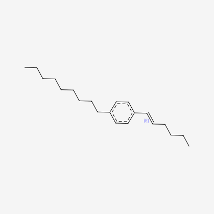 CCCC/C=C/c1ccc(CCCCCCCCC)cc1